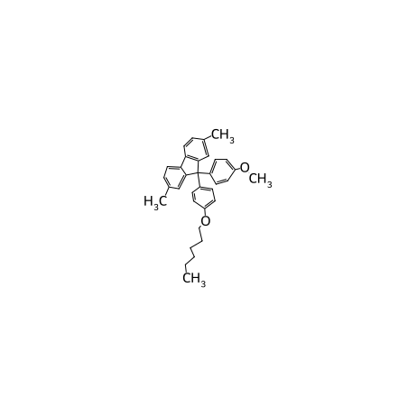 CCCCCCOc1ccc(C2(c3ccc(OC)cc3)c3cc(C)ccc3-c3ccc(C)cc32)cc1